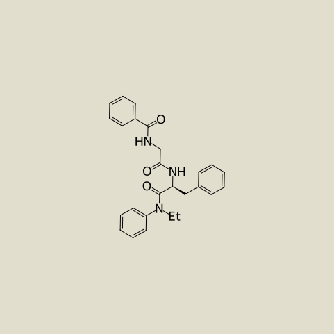 CCN(C(=O)[C@H](Cc1ccccc1)NC(=O)CNC(=O)c1ccccc1)c1ccccc1